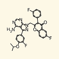 CC(C)Oc1ccc(-c2nn(Cc3oc4ccc(F)cc4c(=O)c3-c3cccc(F)c3)c3ncnc(N)c23)cc1F